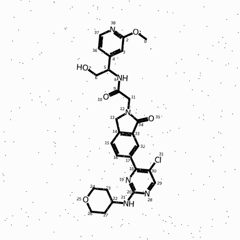 COc1cc(C(CO)NC(=O)CN2Cc3ccc(-c4nc(NC5CCOCC5)ncc4Cl)cc3C2=O)ccn1